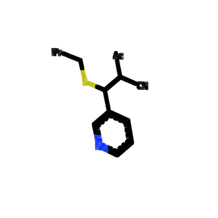 CC(=O)C(C#N)C(SCC(C)C)c1cccnc1